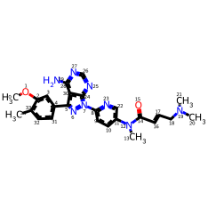 COc1cc(-c2nn(-c3ccc(N(C)C(=O)C=CCN(C)C)cn3)c3ncnc(N)c23)ccc1C